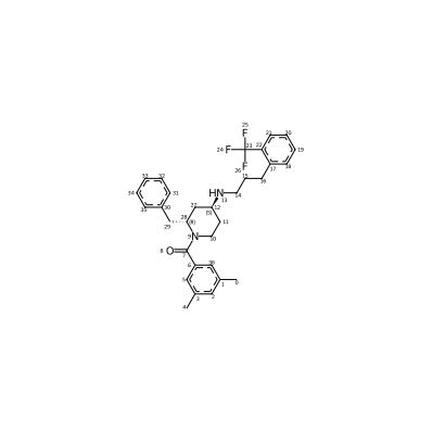 Cc1cc(C)cc(C(=O)N2CC[C@H](NCCCc3ccccc3C(F)(F)F)C[C@H]2Cc2ccccc2)c1